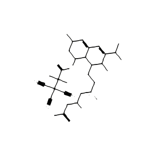 C=C(C)CC(O)C[C@H](C)CCC1C(C)C(C(C)C)=CC2=CC(C)CC(OC(=O)C(C)(C)C(C#N)(C#N)C#N)C21